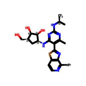 CCCc1nccc2sc(-c3c(C)nc(N[C@H](C)C(F)(F)F)nc3N[C@@H]3C[C@H](CO)[C@@H](O)[C@H]3O)nc12